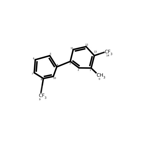 Cc1cc(-c2cccc(C(F)(F)F)c2)ccc1C(F)(F)F